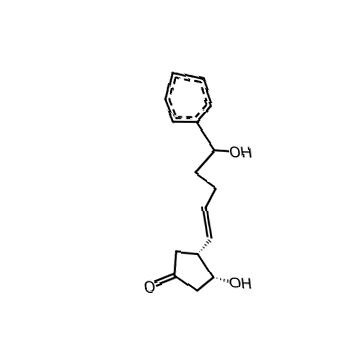 O=C1C[C@@H](O)[C@@H](C=CCCC(O)c2ccccc2)C1